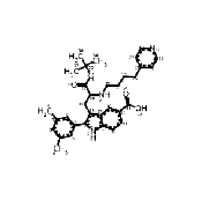 Cc1cc(C)cc(-c2[nH]c3ccc(C(=O)O)cc3c2CC(NCCCCc2ccncc2)C(=O)OC(C)(C)C)c1